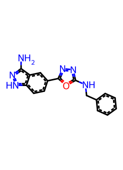 Nc1n[nH]c2ccc(-c3nnc(NCc4ccccc4)o3)cc12